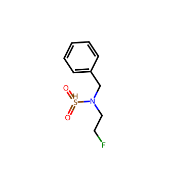 O=[SH](=O)N(CCF)Cc1ccccc1